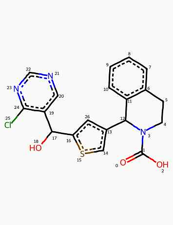 O=C(O)N1CCc2ccccc2C1c1csc(C(O)c2cncnc2Cl)c1